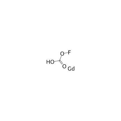 O=C(O)OF.[Gd]